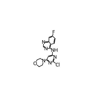 Fc1ccc2c(Nc3cc(N4CCOCC4)nc(Cl)n3)ncnc2c1